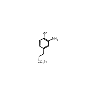 CCOC(=O)CCc1ccc(C(C)=O)c(N)c1